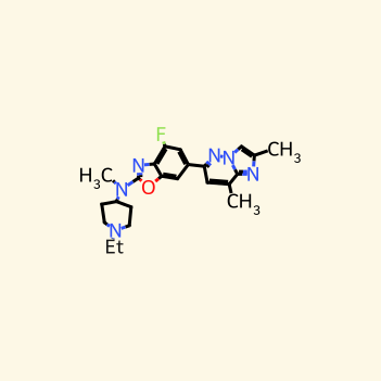 CCN1CCC(N(C)c2nc3c(F)cc(-c4cc(C)c5nc(C)cn5n4)cc3o2)CC1